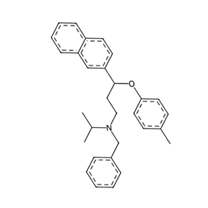 Cc1ccc(OC(CCN(Cc2ccccc2)C(C)C)c2ccc3ccccc3c2)cc1